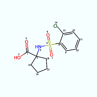 O=C(O)C1(NS(=O)(=O)c2ccccc2Cl)CCCC1